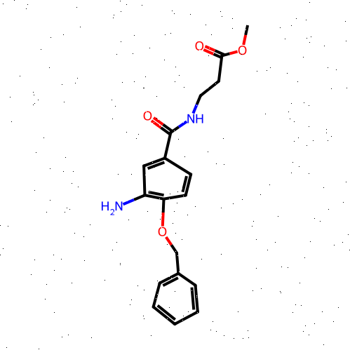 COC(=O)CCNC(=O)c1ccc(OCc2ccccc2)c(N)c1